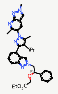 CCOC(=O)CO[C@@H](Cn1cc2c(-c3nn(-c4cc5cn(C)nc5nc4C)c(C)c3C(C)C)cccc2n1)c1ccccc1